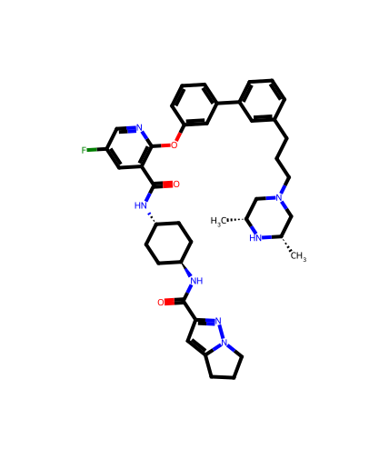 C[C@@H]1CN(CCCc2cccc(-c3cccc(Oc4ncc(F)cc4C(=O)N[C@H]4CC[C@H](NC(=O)c5cc6n(n5)CCC6)CC4)c3)c2)C[C@H](C)N1